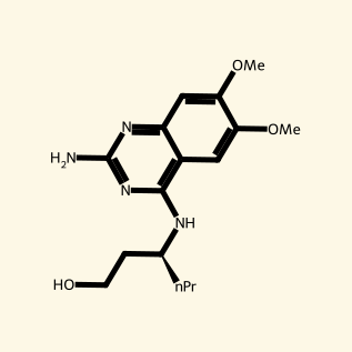 CCC[C@@H](CCO)Nc1nc(N)nc2cc(OC)c(OC)cc12